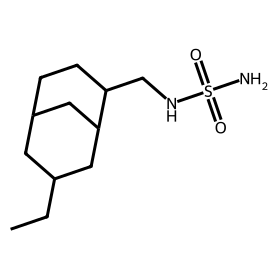 CCC1CC2CCC(CNS(N)(=O)=O)C(C1)C2